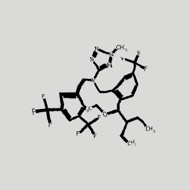 CCOC(c1ccc(C(F)(F)F)cc1CN(Cc1cc(C(F)(F)F)cc(C(F)(F)F)c1)c1nnn(C)n1)C(CC)CC